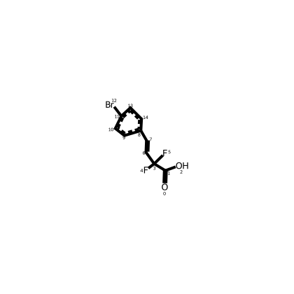 O=C(O)C(F)(F)/C=C/c1ccc(Br)cc1